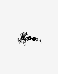 COc1ccc(-c2ccc3c(c2)CN(C(=O)c2cc(S(C)(=O)=O)ccc2O[C@@H](C)C(F)(F)F)C3)cc1